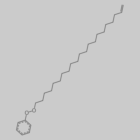 C=CCCCCCCCCCCCCCCCCCCCOOc1ccccc1